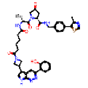 Cc1ncsc1-c1ccc(CNC(=O)[C@@H]2CC(=O)CN2C(=O)[C@@H](NC(=O)CCCCC(=O)N2CC(c3c[nH]c4nnc(-c5ccccc5O)cc34)C2)C(C)(C)C)cc1